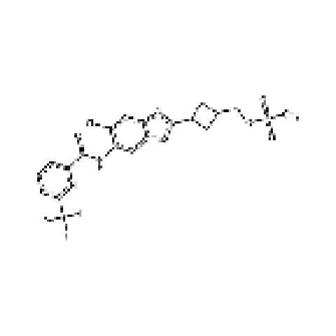 CS(=O)(=O)OCC1CC(n2cc3cc(NC(=O)c4cccc(C(F)(F)F)n4)c(Cl)cc3n2)C1